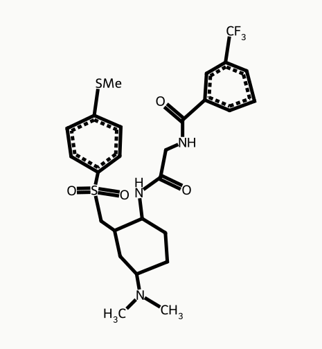 CSc1ccc(S(=O)(=O)CC2CC(N(C)C)CCC2NC(=O)CNC(=O)c2cccc(C(F)(F)F)c2)cc1